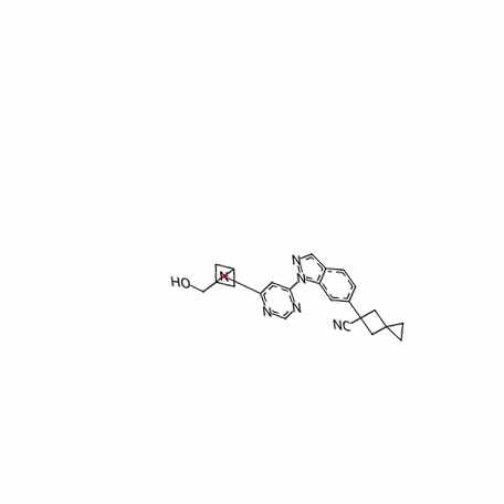 N#CC1(c2ccc3cnn(-c4cc(N5CC6(CO)CC5C6)ncn4)c3c2)CC2(CC2)C1